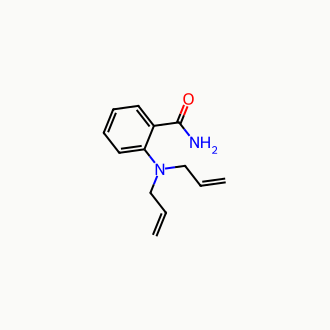 C=CCN(CC=C)c1ccccc1C(N)=O